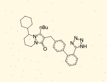 CCCCc1c(Cc2ccc(-c3ccccc3-c3nnn[nH]3)cc2)c(=O)n2n1C(C1CCCCC1)CCC2